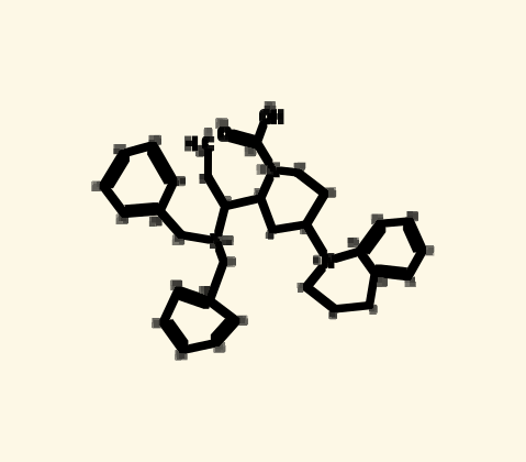 CCC(C1CC(N2CCCc3ccccc32)CCN1C(=O)O)N(Cc1ccccc1)Cc1ccccc1